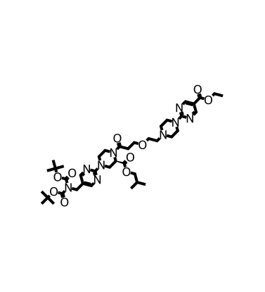 CCOC(=O)c1cnc(N2CCN(CCOCCC(=O)N3CCN(c4ncc(CN(C(=O)OC(C)(C)C)C(=O)OC(C)(C)C)cn4)C[C@@H]3C(=O)OCC(C)C)CC2)nc1